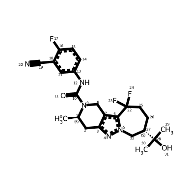 C[C@@H]1Cc2nn3c(c2CN1C(=O)Nc1ccc(F)c(C#N)c1)C(F)(F)CC[C@H](C(C)(C)O)C3